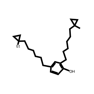 CCC1(CCCCCCc2ccc(O)c(CCCCCCC3(C)CC3)c2)CC1